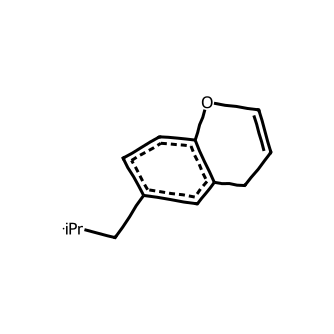 C[C](C)Cc1ccc2c(c1)CC=CO2